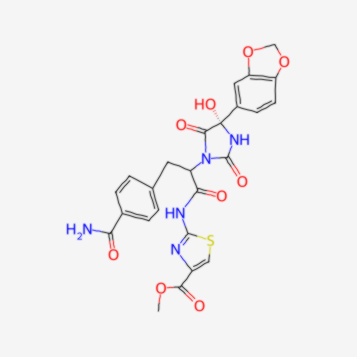 COC(=O)c1csc(NC(=O)C(Cc2ccc(C(N)=O)cc2)N2C(=O)N[C@](O)(c3ccc4c(c3)OCO4)C2=O)n1